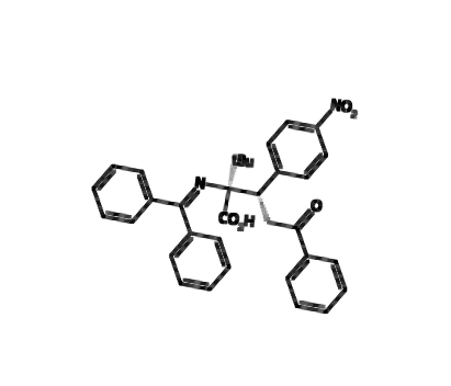 CC(C)(C)[C@@](N=C(c1ccccc1)c1ccccc1)(C(=O)O)[C@@H](CC(=O)c1ccccc1)c1ccc([N+](=O)[O-])cc1